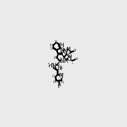 CCOC[C@@]1(c2nnc(C)o2)N[C@@H](c2nc(-c3ccc(F)cn3)c[nH]2)Cc2c1[nH]c1ccccc21